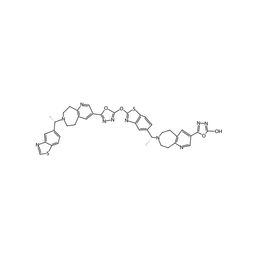 C[C@H](c1ccc2sc(Oc3nnc(-c4cnc5c(c4)CCN([C@@H](C)c4ccc6scnc6c4)CC5)o3)nc2c1)N1CCc2cc(-c3nnc(O)o3)cnc2CC1